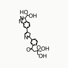 O=C1CC(CO)(CO)Oc2ccc(C3=NC=C(c4ccc5c(c4)N=NC5C(O)O)C3)cc21